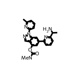 CNC(=O)Oc1cc(-c2cccc(C(C)N)n2)cc2c1cnn2-c1cccc(C)n1